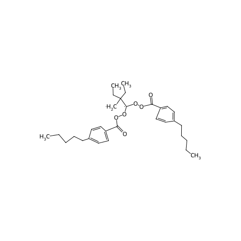 [CH2]C(CC)(CC)[C](OOC(=O)c1ccc(CCCCC)cc1)OOC(=O)c1ccc(CCCCC)cc1